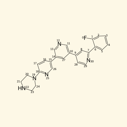 Fc1ccccc1-c1cc(-c2cncc(-c3ccc(N4CCNCC4)nc3)c2)ccn1